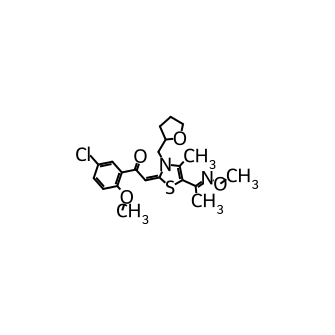 CON=C(C)C1=C(C)N(CC2CCCO2)C(=CC(=O)c2cc(Cl)ccc2OC)S1